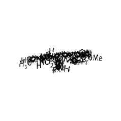 COc1cc(S(=O)(=O)N2CCN(C3CC4(CCN(c5ccc(C(=O)NS(=O)(=O)c6cnc(NCC7CCC(C)(O)CC7)c([N+](=O)[O-])c6)c(Oc6cc7c(F)c[nH]c7nc6OC)c5)CC4)C3)[C@H](c3ccccc3C(C)C)C2)ccn1